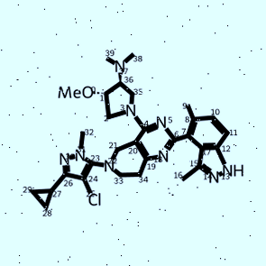 CO[C@H]1CN(c2nc(-c3c(C)ccc4[nH]nc(C)c34)nc3c2CN(c2c(Cl)c(C4CC4)nn2C)CC3)C[C@@H]1N(C)C